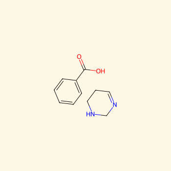 C1=NCNCC1.O=C(O)c1ccccc1